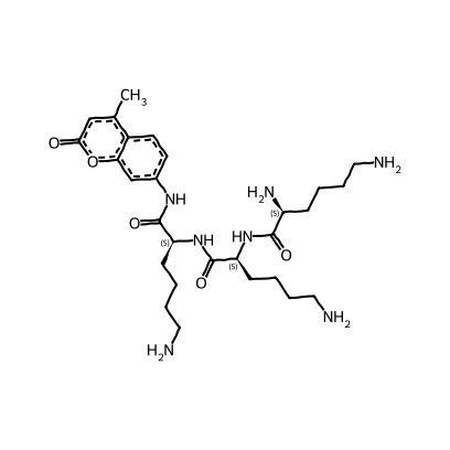 Cc1cc(=O)oc2cc(NC(=O)[C@H](CCCCN)NC(=O)[C@H](CCCCN)NC(=O)[C@@H](N)CCCCN)ccc12